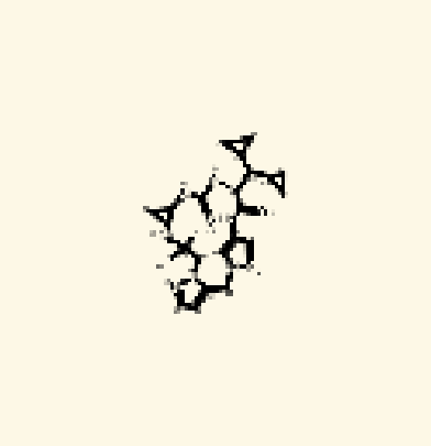 O=C(N[C@H](C(=O)Nc1cnn(Cc2ccnn2CC(F)(F)F)c1)C(C1CC1)C1CC1)OC1CC1